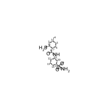 Bc1cc(C)ccc1C(=O)Nc1cccc(S(N)(=O)=O)c1